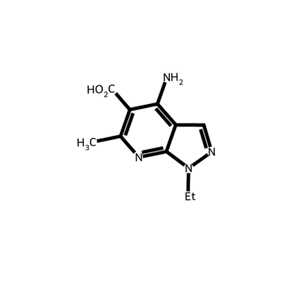 CCn1ncc2c(N)c(C(=O)O)c(C)nc21